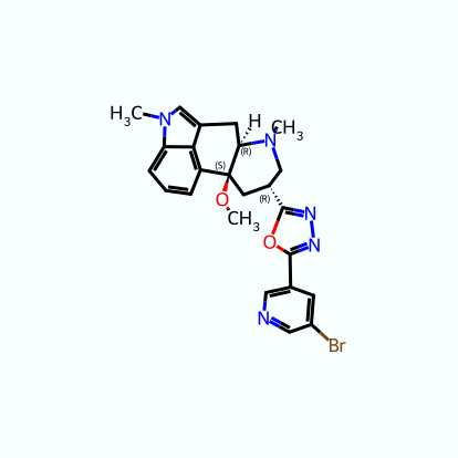 CO[C@]12C[C@@H](c3nnc(-c4cncc(Br)c4)o3)CN(C)[C@@H]1Cc1cn(C)c3cccc2c13